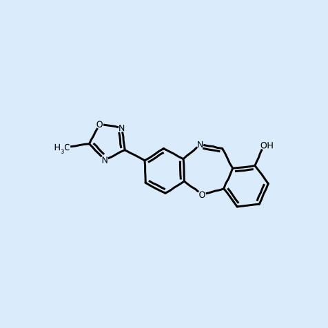 Cc1nc(-c2ccc3c(c2)N=Cc2c(O)cccc2O3)no1